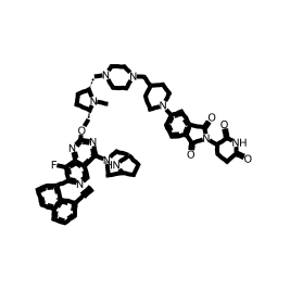 C#Cc1cccc2cccc(-c3ncc4c(N5CC6CCC(C5)N6)nc(OC[C@@H]5CC[C@H](CN6CCN(CC7CCN(c8ccc9c(c8)C(=O)N(C8CCC(=O)NC8=O)C9=O)CC7)CC6)N5C)nc4c3F)c12